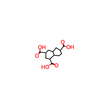 O=C(O)C1CCC2C(C1)CC(C(=O)O)CC2C(=O)O